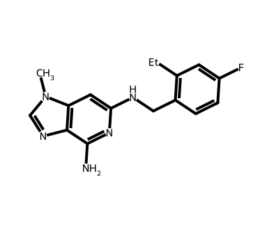 CCc1cc(F)ccc1CNc1cc2c(ncn2C)c(N)n1